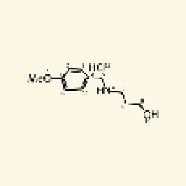 COc1ccc(CNCCCO)cc1.Cl